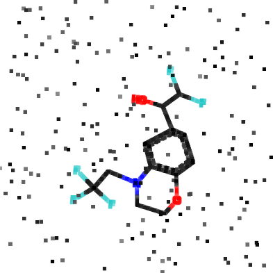 OC(c1ccc2c(c1)N(CC(F)(F)F)CCO2)C(F)F